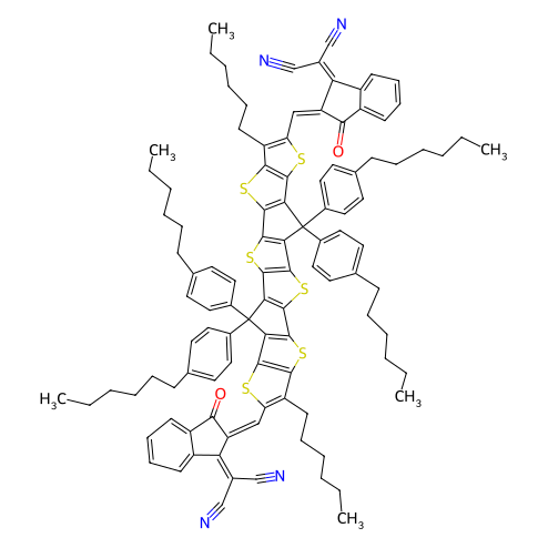 CCCCCCc1ccc(C2(c3ccc(CCCCCC)cc3)c3c(sc4c(CCCCCC)c(/C=C5\C(=O)c6ccccc6C5=C(C#N)C#N)sc34)-c3sc4c5c(sc4c32)-c2sc3c(CCCCCC)c(/C=C4\C(=O)c6ccccc6C4=C(C#N)C#N)sc3c2C5(c2ccc(CCCCCC)cc2)c2ccc(CCCCCC)cc2)cc1